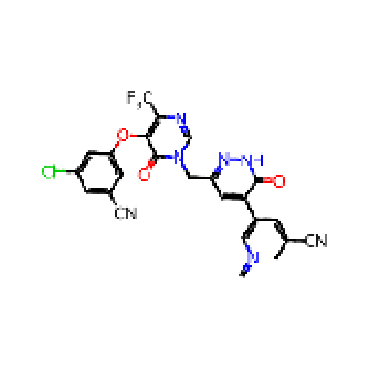 C=N/C=C(\C=C(/C)C#N)c1cc(Cn2cnc(C(F)(F)F)c(Oc3cc(Cl)cc(C#N)c3)c2=O)n[nH]c1=O